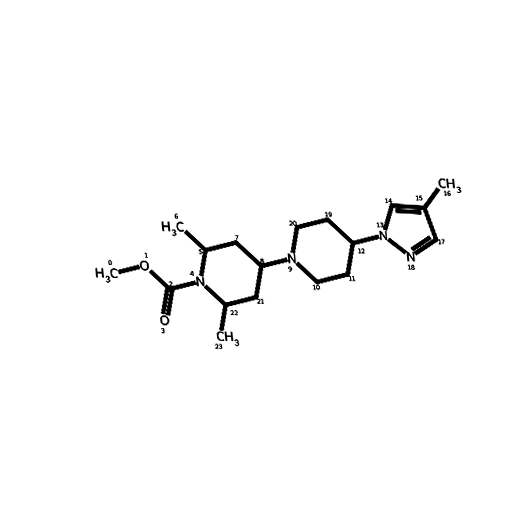 COC(=O)N1C(C)CC(N2CCC(n3cc(C)cn3)CC2)CC1C